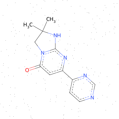 CC1(C)Cn2c(nc(-c3ccncn3)cc2=O)N1